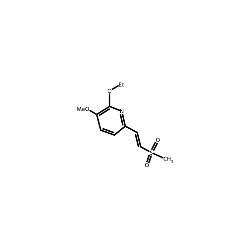 CCOc1nc(/C=C/S(C)(=O)=O)ccc1OC